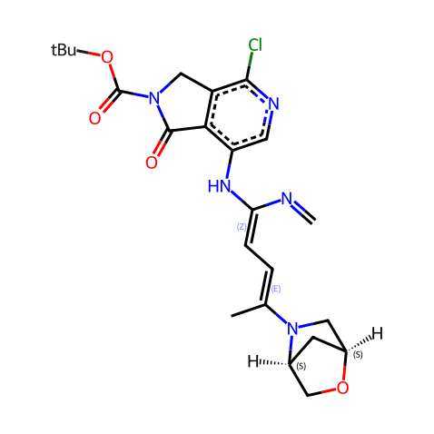 C=N/C(=C\C=C(/C)N1C[C@@H]2C[C@H]1CO2)Nc1cnc(Cl)c2c1C(=O)N(C(=O)OC(C)(C)C)C2